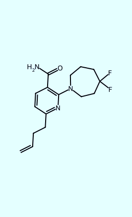 C=CCCc1ccc(C(N)=O)c(N2CCCC(F)(F)CC2)n1